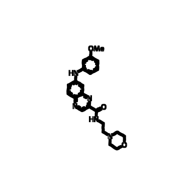 COc1cccc(Nc2ccc3ncc(C(=O)NCCN4CCOCC4)nc3c2)c1